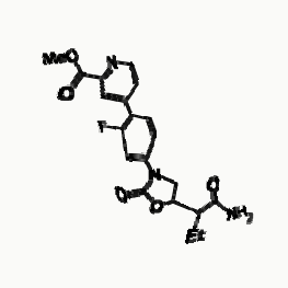 CCC(C(N)=O)C1CN(c2ccc(-c3ccnc(C(=O)OC)c3)c(F)c2)C(=O)O1